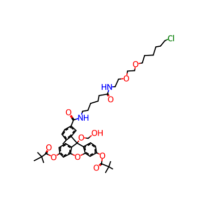 Cc1ccc(C(=O)NCCCCCC(=O)NCCOCCOCCCCCCCl)cc1C1(OCO)c2ccc(OC(=O)C(C)(C)C)cc2Oc2cc(OC(=O)C(C)(C)C)ccc21